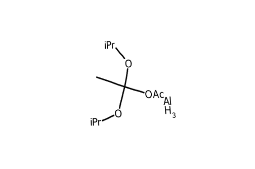 CC(=O)OC(C)(OC(C)C)OC(C)C.[AlH3]